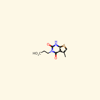 Cc1csc2[nH]c(=O)n(CCC(=O)O)c(=O)c12